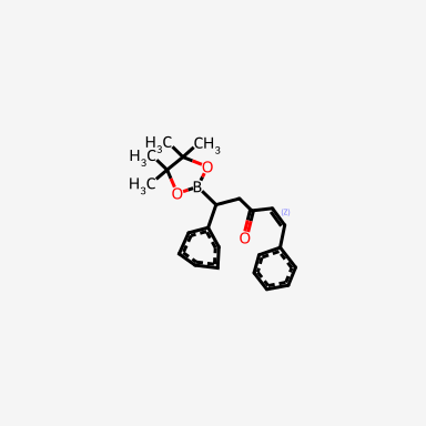 CC1(C)OB(C(CC(=O)/C=C\c2ccccc2)c2ccccc2)OC1(C)C